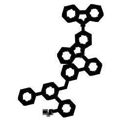 Cc1ccccc1-c1cc(-c2ccccc2)ccc1Cc1cccc(-c2ccccc2-n2c3ccccc3c3cc(-n4c5ccccc5c5ccccc54)ccc32)c1